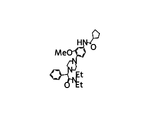 CCN(CC)C(=O)C(c1ccccc1)N1CCN(c2ccc(NC(=O)C3CCCC3)cc2OC)CC1